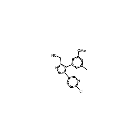 COc1cc(C)cc(-c2c(-c3ccc(Cl)nc3)cnn2CC#N)c1